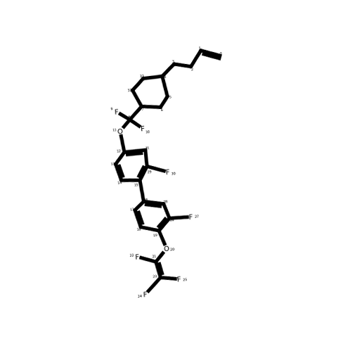 C=CCCC1CCC(C(F)(F)Oc2ccc(-c3ccc(OC(F)=C(F)F)c(F)c3)c(F)c2)CC1